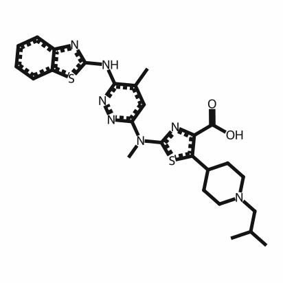 Cc1cc(N(C)c2nc(C(=O)O)c(C3CCN(CC(C)C)CC3)s2)nnc1Nc1nc2ccccc2s1